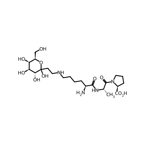 C[C@H](NC(=O)[C@@H](N)CCCCNCCC1(O)O[C@H](CO)[C@H](O)[C@H](O)[C@H]1O)C(=O)N1CCC[C@H]1C(=O)O